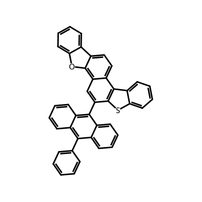 c1ccc(-c2c3ccccc3c(-c3cc4c(ccc5c6ccccc6oc54)c4c3sc3ccccc34)c3ccccc23)cc1